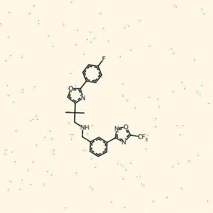 CC(C)(CNCc1cccc(-c2noc(C(F)(F)F)n2)c1)c1coc(-c2ccc(F)cc2)n1